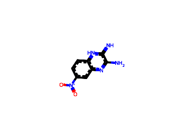 N=c1[nH]c2ccc([N+](=O)[O-])cc2nc1N